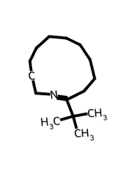 CC(C)(C)/C1=N\CCCCCCCCCC1